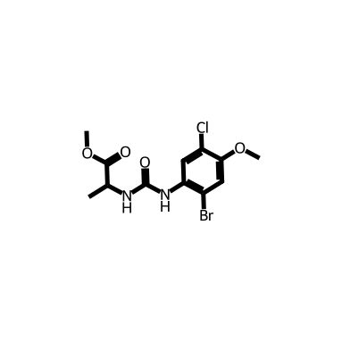 COC(=O)C(C)NC(=O)Nc1cc(Cl)c(OC)cc1Br